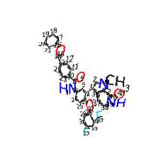 Cn1cc(-c2cc(NC(=O)c3ccc(COc4ccccc4)cc3)ccc2Oc2ccc(F)cc2F)c2cc[nH]c(=O)c21